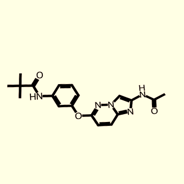 CC(=O)Nc1cn2nc(Oc3cccc(NC(=O)C(C)(C)C)c3)ccc2n1